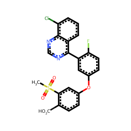 CS(=O)(=O)c1cc(Oc2ccc(F)c(-c3ncnc4c(Cl)cccc34)c2)ccc1C(=O)O